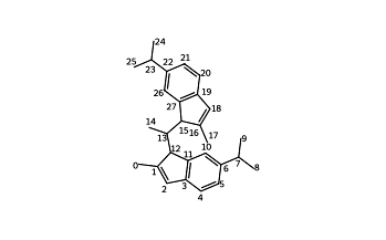 CC1=Cc2ccc(C(C)C)cc2C1C(C)C1C(C)=Cc2ccc(C(C)C)cc21